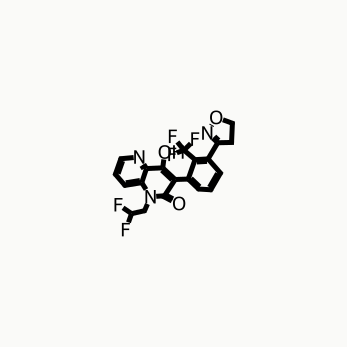 O=c1c(-c2cccc(C3=NOCC3)c2C(F)(F)F)c(O)c2ncccc2n1CC(F)F